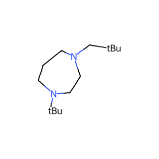 CC(C)(C)CN1CCCN(C(C)(C)C)CC1